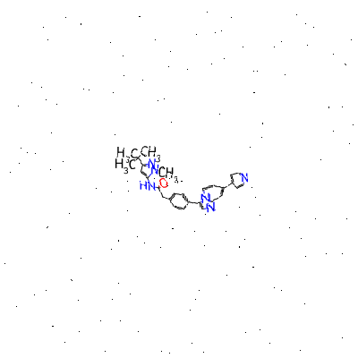 Cn1nc(C(C)(C)C)cc1NC(=O)Cc1ccc(-c2cnc3cc(-c4ccncc4)ccn23)cc1